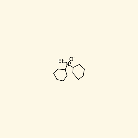 CC[N+]([O-])(C1CCCCC1)C1CCCCC1